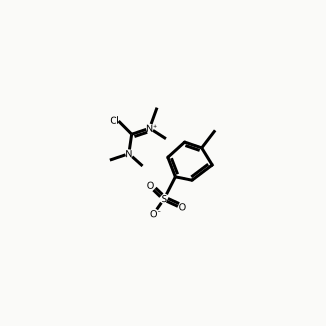 CN(C)C(Cl)=[N+](C)C.Cc1ccc(S(=O)(=O)[O-])cc1